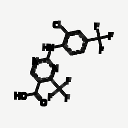 O=C(O)c1cnc(Nc2ccc(C(F)(F)F)cc2Cl)nc1C(F)(F)F